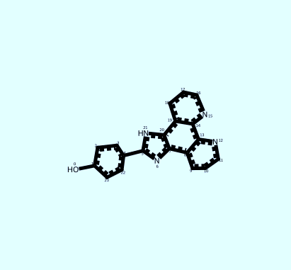 Oc1ccc(-c2nc3c4cccnc4c4ncccc4c3[nH]2)cc1